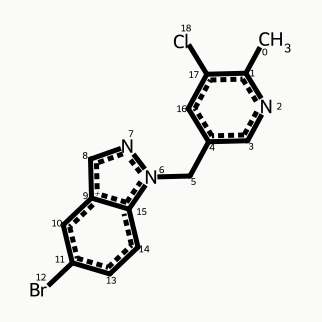 Cc1ncc(Cn2ncc3cc(Br)ccc32)cc1Cl